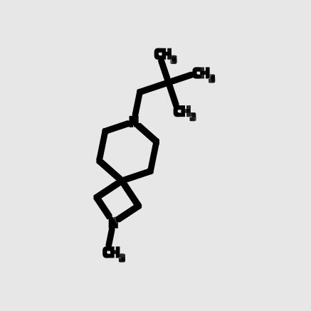 CN1CC2(CCN(CC(C)(C)C)CC2)C1